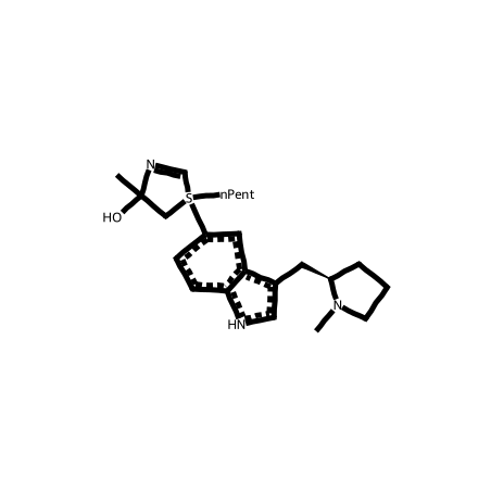 CCCCCS1(c2ccc3[nH]cc(C[C@H]4CCCN4C)c3c2)C=NC(C)(O)C1